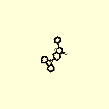 O=c1cc(-c2ccccc2)oc2cc(-n3c4ccccc4c4ccccc43)ccc12